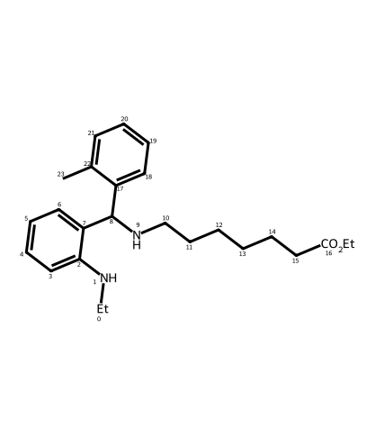 CCNc1ccccc1C(NCCCCCCC(=O)OCC)c1ccccc1C